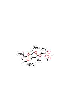 CCOC1(C)Oc2cccc(O[C@@H]3O[C@H](COC(C)=O)[C@@H](O[C@@H]4O[C@H](COC(C)=O)[C@H](C)[C@H](C)[C@H]4OC(C)=O)[C@H](C)[C@H]3OC(C)=O)c2O1